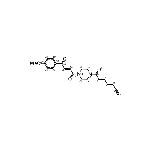 C#CCCCCC(=O)N1CCN(C(=O)/C=C/C(=O)c2ccc(OC)cc2)CC1